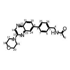 CC(=O)NCc1ccc(-c2ccc3ncc(N4CCOCC4)nc3c2)cc1